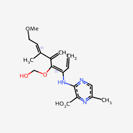 C=C/C(Nc1ncc(C)nc1C(=O)O)=C(/OCO)C(=C)/C(C)=C/COC